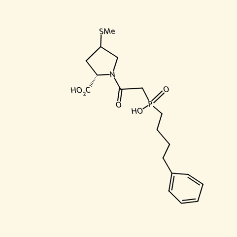 CSC1C[C@@H](C(=O)O)N(C(=O)CP(=O)(O)CCCCc2ccccc2)C1